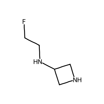 FCCNC1CNC1